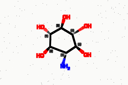 N[C@@H]1[C@@H](O)[C@H](O)[C@@H](O)[C@H](O)[C@H]1O